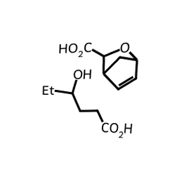 CCC(O)CCC(=O)O.O=C(O)C1OC2C=CC1C2